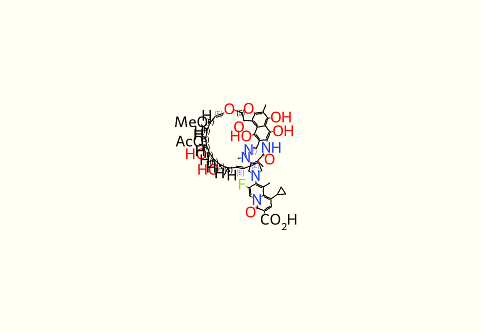 CO[C@H]1/C=C/O[C@@]2(C)Oc3c(C)c(O)c4c(O)c(c(/C=N/N(C)C5CCN(c6c(F)cn7c(=O)c(C(=O)O)cc(C8CC8)c7c6C)C5)c(O)c4c3C2=O)NC(=O)/C(C)=C\C=C\[C@H](C)[C@H](O)[C@@H](C)[C@@H](O)[C@@H](C)[C@H](OC(C)=O)[C@@H]1C